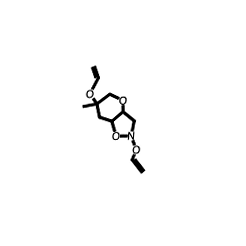 C=CON1CC2OCC(C)(OC=C)CC2O1